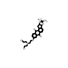 CC1(C)OC2Cc3c(ccc4c3C(=O)c3ccc(OCCN(CCCl)CCCl)cc3C4=O)C2O1